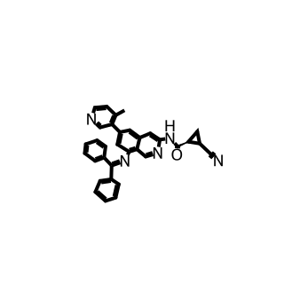 Cc1ccncc1-c1cc(N=C(c2ccccc2)c2ccccc2)c2cnc(NC(=O)[C@H]3CC3C#N)cc2c1